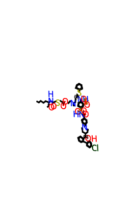 CCCCCC(NC(=O)CSCC(=O)OCCN(C)CC[C@H](CSc1ccccc1)Nc1ccc(S(=O)(=O)NC(=O)c2ccc(N3CCC([C@@H](O)c4ccccc4-c4ccc(Cl)cc4)CC3)cc2)cc1S(C)(=O)=O)C(C)=O